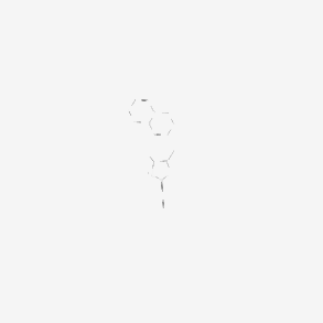 CC=C=c1s/c(=C2\CCCc3cc4ccccc4cc32)c(=O)n1CC